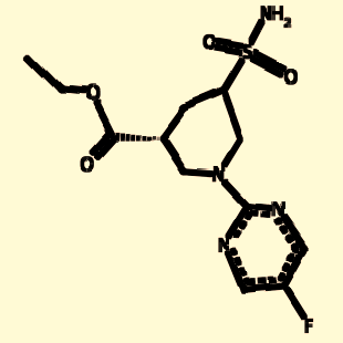 CCOC(=O)[C@@H]1CC(S(N)(=O)=O)CN(c2ncc(F)cn2)C1